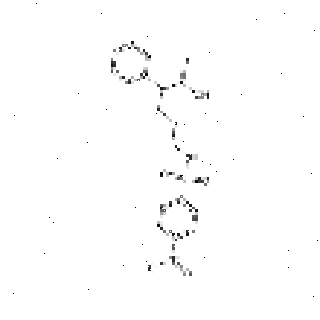 O=C(O)C(SCCNS(=O)(=O)c1ccc([N+](=O)[O-])cc1)c1ccccc1